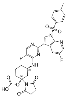 Cc1ccc(S(=O)(=O)n2cc(-c3ncc(F)c(N[C@@H]4CCC[C@@](OC(=O)O)(N5C(=O)CCC5=O)C4)n3)c3cc(F)cnc32)cc1